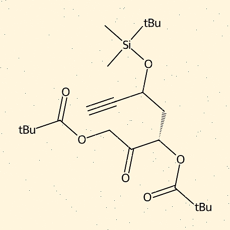 C#CC(C[C@H](OC(=O)C(C)(C)C)C(=O)COC(=O)C(C)(C)C)O[Si](C)(C)C(C)(C)C